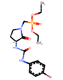 CCOP(=O)(CN1CC[C@H](NC(=O)Nc2ccc(Br)cc2)C1=O)OCC